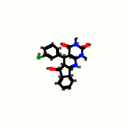 Cn1c2c(c(=O)n(C)c1=O)C(c1cccc(Br)c1)C1C(=O)c3ccccc3C1=N2